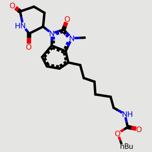 CCCCOC(=O)NCCCCCCc1cccc2c1n(C)c(=O)n2C1CCC(=O)NC1=O